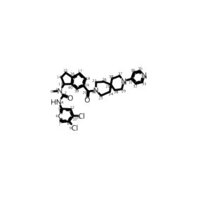 CN(C(=O)Nc1ccc(Cl)c(Cl)c1)C1CCc2ccc(C(=O)N3CCC4(CC3)CCN(c3ccncc3)CC4)cc21